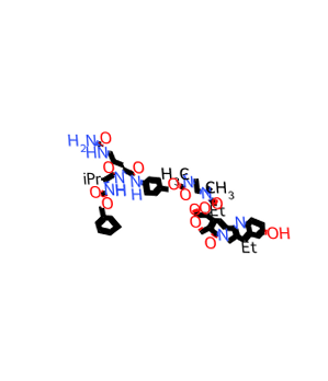 CCc1c2c(nc3ccc(O)cc13)-c1cc3c(c(=O)n1C2)COC(=O)[C@@]3(CC)OC(=O)N(C)CCN(C)C(=O)OCc1ccc(NC(=O)[C@H](CCCNC(N)=O)NC(=O)[C@@H](NC(=O)OCc2ccccc2)C(C)C)cc1